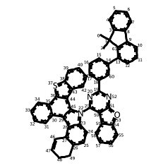 CC1(C)c2ccccc2-c2cccc(-c3cccc(-c4nc(-n5c6ccc7c(c6c6c8ccccc8c8sc9ccccc9c8c65)C=CCC7)c5c(n4)oc4ccccc45)c3)c21